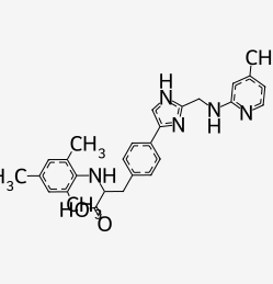 Cc1ccnc(NCc2nc(-c3ccc(CC(Nc4c(C)cc(C)cc4C)C(=O)O)cc3)c[nH]2)c1